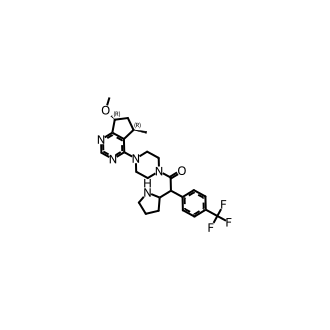 CO[C@@H]1C[C@@H](C)c2c1ncnc2N1CCN(C(=O)C(c2ccc(C(F)(F)F)cc2)C2CCCN2)CC1